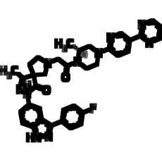 CC(=N)C1(C(=O)Nc2ccc3[nH]nc(-c4ccc(F)cc4)c3c2)CCN(CC(=O)N2CCN(c3ccc(-c4ncccn4)cn3)C[C@H]2C)C1